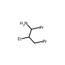 CCC(CC(C)C)C(N)C(C)C